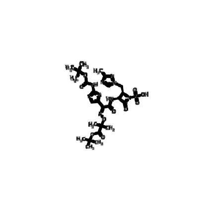 Cc1ncn(C[C@@H]2[C@H](NC(=O)/C(=N\OC(C)(C)C(=O)OC(C)(C)C)c3csc(NC(=O)OC(C)(C)C)n3)C(=O)N2S(=O)(=O)O)n1